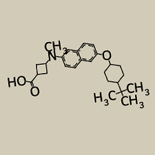 CN(c1ccc2cc(OC3CCC(C(C)(C)C)CC3)ccc2c1)C1CC(C(=O)O)C1